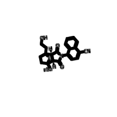 CCCCC12CCC(CCO)(O1)[C@H]1C(=O)N(c3ccc(C#N)c4ccccc34)C(=O)[C@H]12